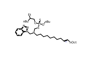 CCCCCCCC/C=C/CCCCCCCCN(CSP(=S)(OCCCC)OCC(CC)CCCC)Cn1nnc2ccccc21